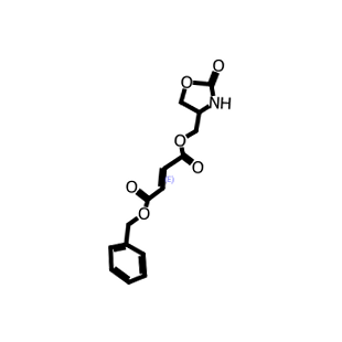 O=C(/C=C/C(=O)OCC1COC(=O)N1)OCc1ccccc1